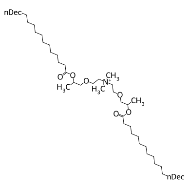 CCCCCCCCCCCCCCCCCCCCCC(=O)OC(C)COCC[N+](C)(C)CCOCC(C)OC(=O)CCCCCCCCCCCCCCCCCCCCC